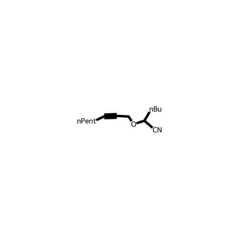 CCCCCC#CCOC(C#N)CCCC